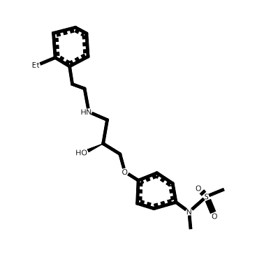 CCc1ccccc1CCNC[C@H](O)COc1ccc(N(C)S(C)(=O)=O)cc1